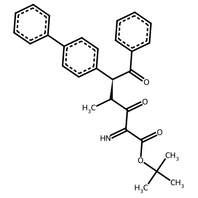 CC(C(=O)C(=N)C(=O)OC(C)(C)C)[C@H](C(=O)c1ccccc1)c1ccc(-c2ccccc2)cc1